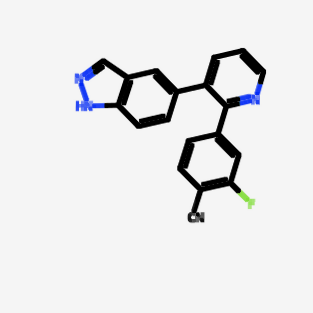 N#Cc1ccc(-c2ncccc2-c2ccc3[nH]ncc3c2)cc1F